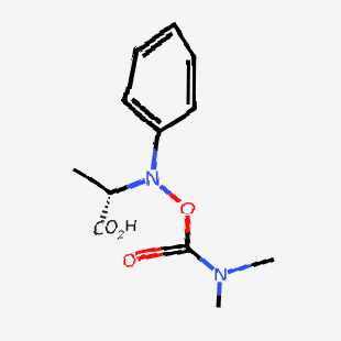 C[C@@H](C(=O)O)N(OC(=O)N(C)C)c1ccccc1